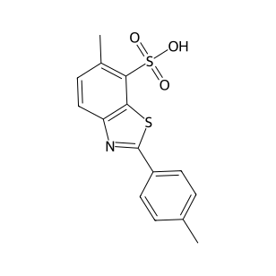 Cc1ccc(-c2nc3ccc(C)c(S(=O)(=O)O)c3s2)cc1